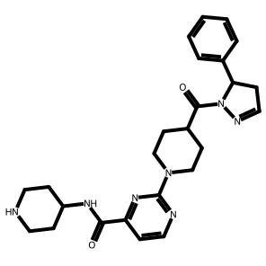 O=C(NC1CCNCC1)c1ccnc(N2CCC(C(=O)N3N=CCC3c3ccccc3)CC2)n1